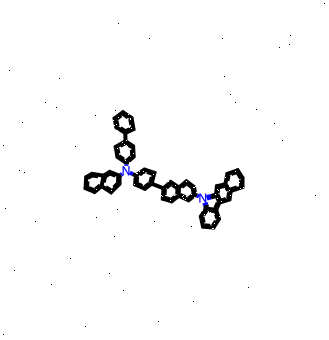 c1ccc(-c2ccc(N(c3ccc(-c4ccc5cc(-n6c7ccccc7c7cc8ccccc8cc76)ccc5c4)cc3)c3ccc4ccccc4c3)cc2)cc1